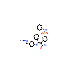 CCCNCc1ccc(N/C(=C2\C(=O)Nc3ccc(S(=O)(=O)Nc4ccccc4)cc32)c2ccccc2)cc1